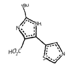 CC(C)(C)c1nc(C(=O)O)c(-c2cncs2)[nH]1